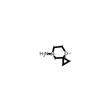 NN1CCOC2(CC2)C1